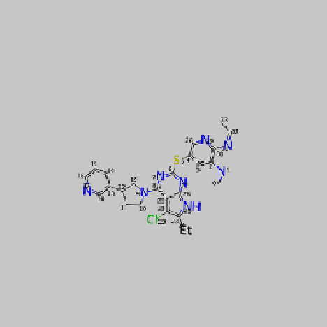 C=Nc1cc(Sc2nc(N3CCC(c4cccnc4)C3)c3c(Cl)c(CC)[nH]c3n2)cnc1/N=C\C